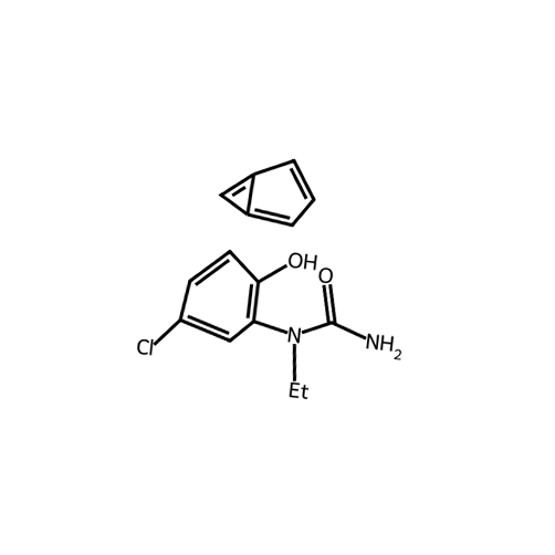 CCN(C(N)=O)c1cc(Cl)ccc1O.c1cc2cc-2c1